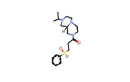 CC(C)N1CCN2CCN(C(=O)CCS(=O)(=O)c3ccccc3)C[C@@H]2C1